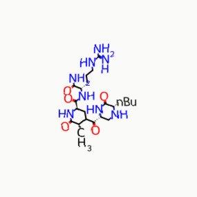 CCCC[C@@H]1NC[C@H](C(=O)C2C[C@H](C(=O)N[C@@H](CCCNC(=N)N)C(N)=O)NC(=O)[C@@H]2C)NC1=O